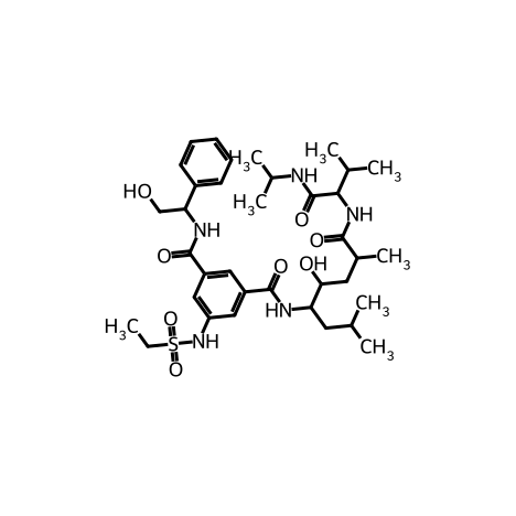 CCS(=O)(=O)Nc1cc(C(=O)NC(CO)c2ccccc2)cc(C(=O)NC(CC(C)C)C(O)CC(C)C(=O)NC(C(=O)NC(C)C)C(C)C)c1